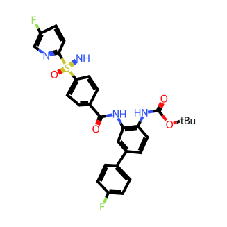 CC(C)(C)OC(=O)Nc1ccc(-c2ccc(F)cc2)cc1NC(=O)c1ccc(S(=N)(=O)c2ccc(F)cn2)cc1